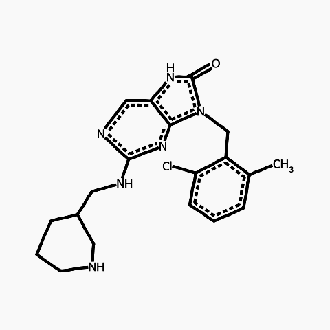 Cc1cccc(Cl)c1Cn1c(=O)[nH]c2cnc(NCC3CCCNC3)nc21